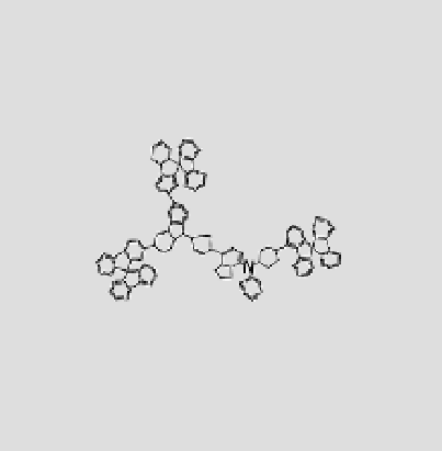 C1=CC(C2c3ccc(-c4ccc5c(c4)C4(c6ccccc6-c6ccccc64)c4ccccc4-5)cc3C3CC(c4ccc5c(c4)C4(c6ccccc6-c6ccccc64)c4ccccc4-5)CCC32)CCC1C1=CC=C(N(c2ccccc2)C2CCC(c3cccc4c3-c3ccccc3C43c4ccccc4-c4ccccc43)CC2)C2CCCC12